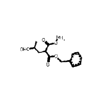 CC(C=O)CC(C(=O)ON)C(=O)OCc1ccccc1